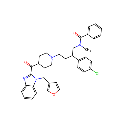 CN(CC(CCN1CCC(C(=O)c2nc3ccccc3n2Cc2ccoc2)CC1)c1ccc(Cl)cc1)C(=O)c1ccccc1